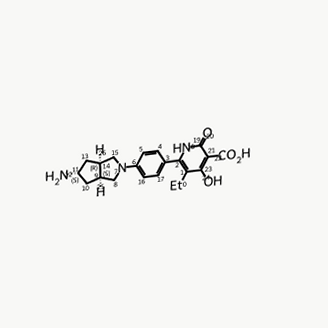 CCc1c(-c2ccc(N3C[C@H]4C[C@H](N)C[C@H]4C3)cc2)[nH]c(=O)c(C(=O)O)c1O